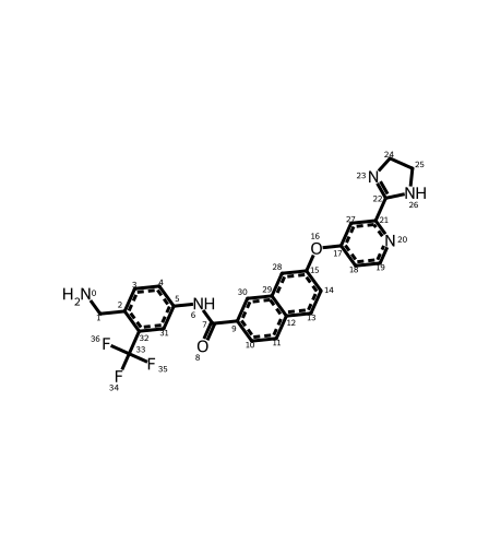 NCc1ccc(NC(=O)c2ccc3ccc(Oc4ccnc(C5=NCCN5)c4)cc3c2)cc1C(F)(F)F